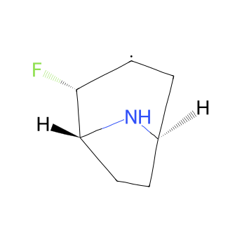 F[C@@H]1[CH]C[C@H]2CC[C@H]1N2